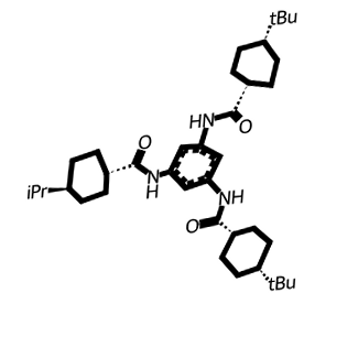 CC(C)[C@H]1CC[C@H](C(=O)Nc2cc(NC(=O)[C@H]3CC[C@@H](C(C)(C)C)CC3)cc(NC(=O)[C@H]3CC[C@@H](C(C)(C)C)CC3)c2)CC1